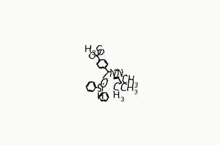 COC(=O)c1ccc(C(CO[SiH](c2ccccc2)c2ccccc2)n2cnc(C(C)(C)C)c2)cc1